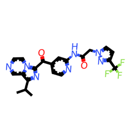 CC(C)c1nc(C(=O)c2ccnc(NC(=O)Cn3ccc(C(F)(F)F)n3)c2)n2ccncc12